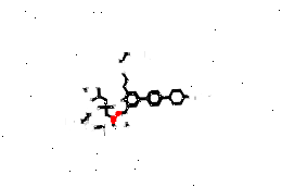 C=C(C)C(=O)OCCCc1cc(-c2ccc(C3CCC(CCCCC)CC3)cc2F)cc(CCCOC(=O)C(=C)C)c1OCC(COC(=O)C(=C)C)(CC1COC(=O)OC1)CC1COC(=O)OC1